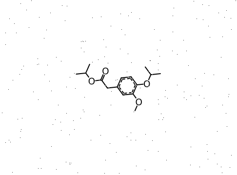 COc1cc(CC(=O)OC(C)C)ccc1OC(C)C